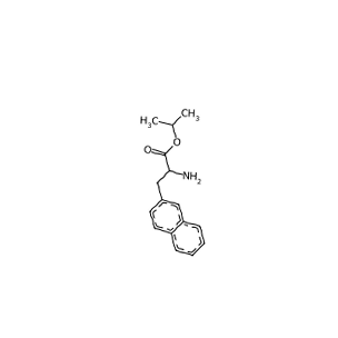 CC(C)OC(=O)C(N)Cc1ccc2ccccc2c1